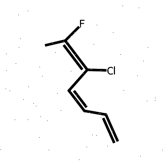 C=C/C=C\C(Cl)=C(/C)F